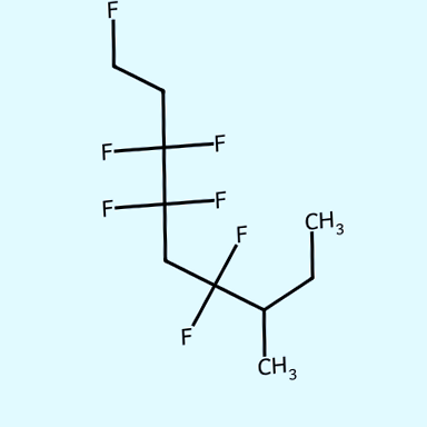 CCC(C)C(F)(F)CC(F)(F)C(F)(F)CCF